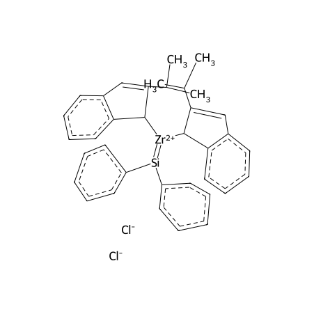 CC(C)C1=Cc2ccccc2[CH]1[Zr+2]([CH]1C(C(C)C)=Cc2ccccc21)=[Si](c1ccccc1)c1ccccc1.[Cl-].[Cl-]